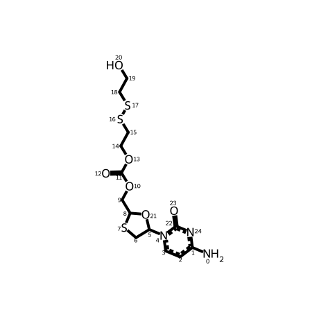 Nc1ccn(C2CSC(COC(=O)OCCSSCCO)O2)c(=O)n1